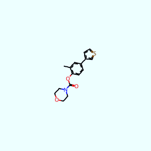 Cc1cc(-c2ccsc2)ccc1OC(=O)N1CCOCC1